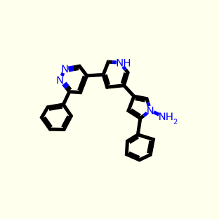 Nn1cc(C2=CNCC(c3cnnc(-c4ccccc4)c3)=C2)cc1-c1ccccc1